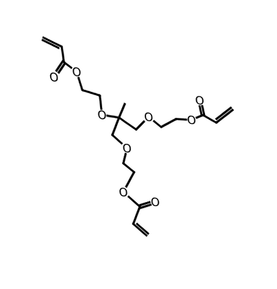 C=CC(=O)OCCOCC(C)(COCCOC(=O)C=C)OCCOC(=O)C=C